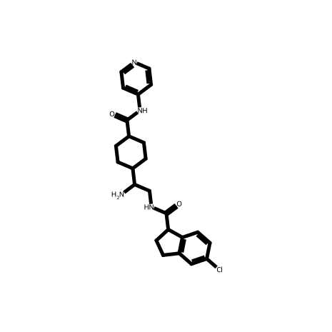 NC(CNC(=O)C1CCc2cc(Cl)ccc21)C1CCC(C(=O)Nc2ccncc2)CC1